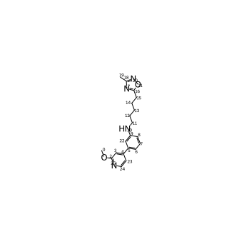 COc1cc(-c2cccc(NCCCCCc3nc(C)no3)c2)ccn1